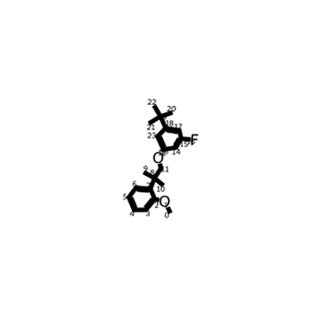 COc1ccccc1C(C)(C)COc1cc(F)cc(C(C)(C)C)c1